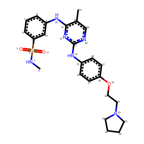 CNS(=O)(=O)c1cccc(Nc2nc(Nc3ccc(OCCN4CCCC4)cc3)ncc2C)c1